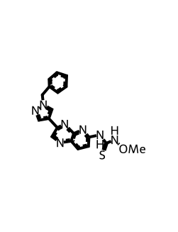 CONC(=S)Nc1ccc2ncc(-c3cnn(Cc4ccccc4)c3)nc2n1